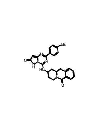 CC(C)(C)c1ccc(-c2nc(NC3CCN4C(=O)c5ccccc5CC4C3)n3[nH]c(=O)cc3n2)cc1